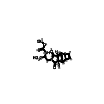 CC(C)(C)OC(=O)NC(CN1C(=O)[C@@H]2C3C=CC(C4C=CC43)[C@@H]2C1=O)C(=O)O